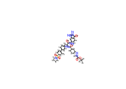 Cc1cc(S(=O)(=O)N2CCCC2)ccc1-c1ccc(C[C@H](NC(=O)[C@H]2CC[C@H](CNC(=O)OC(C)(C)C)CC2)C(=O)Nc2ccc3c(=O)[nH][nH]c3c2)cc1